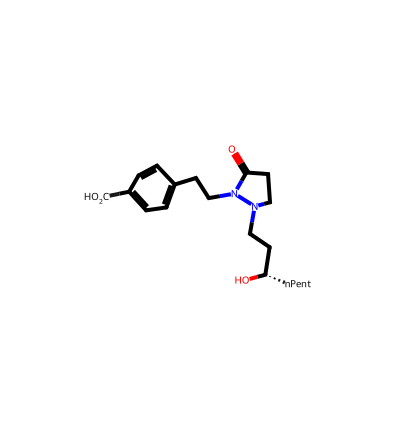 CCCCC[C@H](O)CCN1CCC(=O)N1CCc1ccc(C(=O)O)cc1